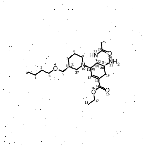 CCCCOC[C@H]1CCCN([C@@H]2C=C(C(=O)OCC)C[C@H](N)[C@H]2NC(C)=O)C1